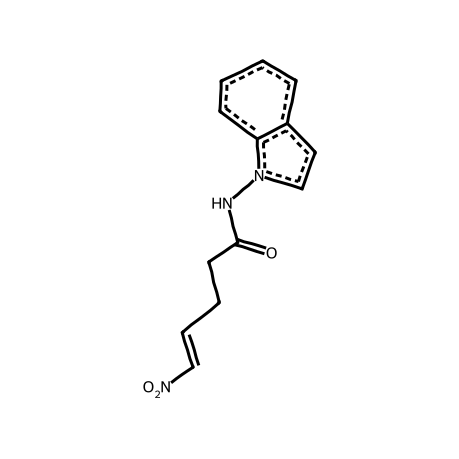 O=C(CCC=C[N+](=O)[O-])Nn1ccc2ccccc21